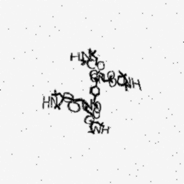 CC1(C)CC(OC(=O)CN(CC(=O)OC2CC(C)(C)NC(C)(C)C2)C(=O)C2CCC(C(=O)N(CC(=O)OC3CC(C)(C)NC(C)(C)C3)CC(=O)OC3CC(C)(C)NC(C)(C)C3)CC2)CC(C)(C)N1